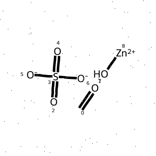 C=O.O=S(=O)([O-])[O-].[OH][Zn+2]